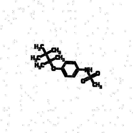 CC(C)(C)[Si](C)(C)Oc1ccc(NS(C)(=O)=O)cc1